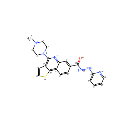 CN1CCN(c2nc3cc(C(=O)NNc4ccccn4)ccc3c3sccc23)CC1